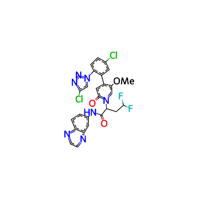 COc1cn(C(CC(F)F)C(=O)Nc2ccc3nccnc3c2)c(=O)cc1-c1cc(Cl)ccc1-n1cc(Cl)nn1